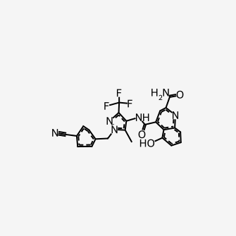 Cc1c(NC(=O)c2cc(C(N)=O)nc3cccc(O)c23)c(C(F)(F)F)nn1Cc1ccc(C#N)cc1